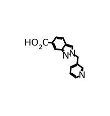 O=C(O)c1ccc2cn(Cc3cccnc3)nc2c1